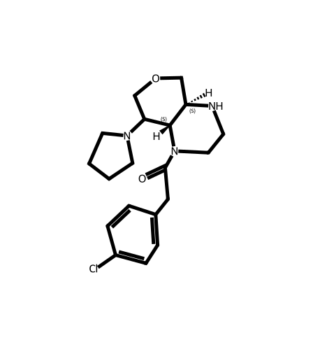 O=C(Cc1ccc(Cl)cc1)N1CCN[C@@H]2COCC(N3CCCC3)[C@H]21